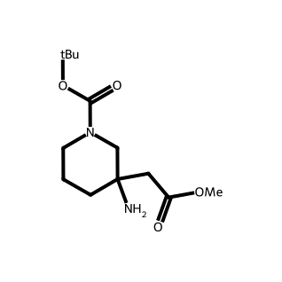 COC(=O)CC1(N)CCCN(C(=O)OC(C)(C)C)C1